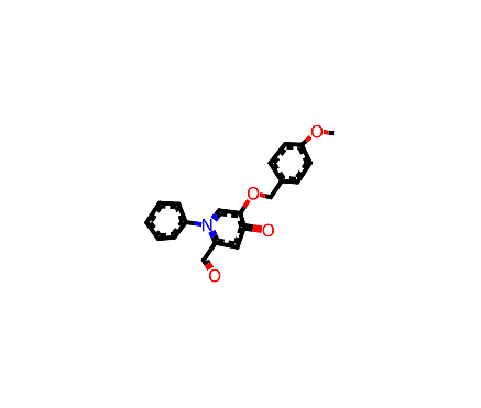 COc1ccc(COc2cn(-c3ccccc3)c(C=O)cc2=O)cc1